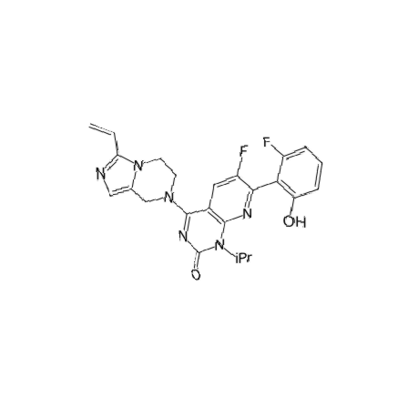 C=Cc1ncc2n1CCN(c1nc(=O)n(C(C)C)c3nc(-c4c(O)cccc4F)c(F)cc13)C2